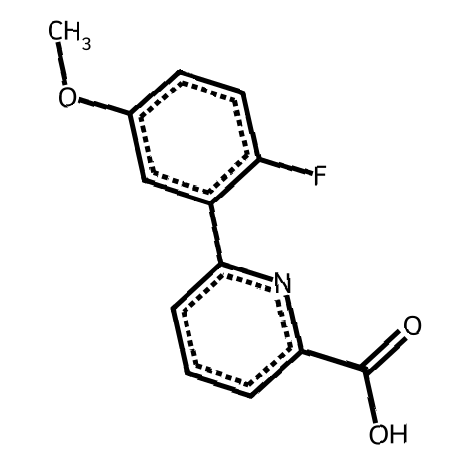 COc1ccc(F)c(-c2cccc(C(=O)O)n2)c1